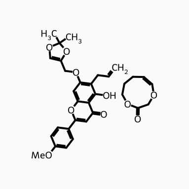 C=CCc1c(OCC2=COC(C)(C)O2)cc2oc(-c3ccc(OC)cc3)cc(=O)c2c1O.O=C1COC=CCCCO1